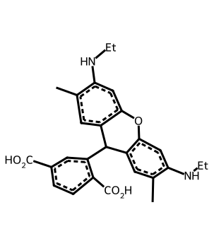 CCNc1cc2c(cc1C)C(c1cc(C(=O)O)ccc1C(=O)O)c1cc(C)c(NCC)cc1O2